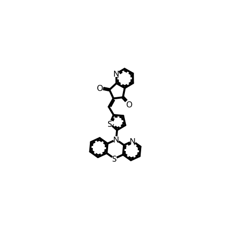 O=C1/C(=C\c2ccc(N3c4ccccc4Sc4cccnc43)s2)C(=O)c2ncccc21